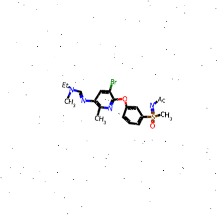 CCN(C)/C=N/c1cc(Br)c(Oc2cccc(S(C)(=O)=NC(C)=O)c2)nc1C